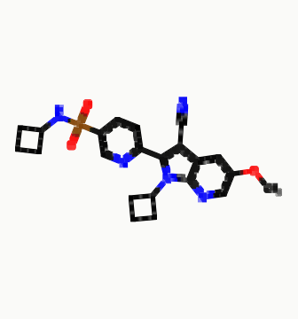 COc1cnc2c(c1)c(C#N)c(-c1ccc(S(=O)(=O)NC3CCC3)cn1)n2C1CCC1